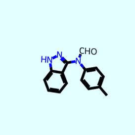 Cc1ccc(N(C=O)c2n[nH]c3ccccc23)cc1